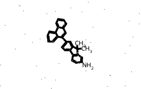 CC1(C)c2cc(N)ccc2-c2ccc(-c3cc4ccccc4c4ccccc34)cc21